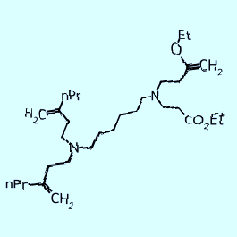 C=C(CCC)CCN(CCCCCCN(CCC(=C)OCC)CCC(=O)OCC)CCC(=C)CCC